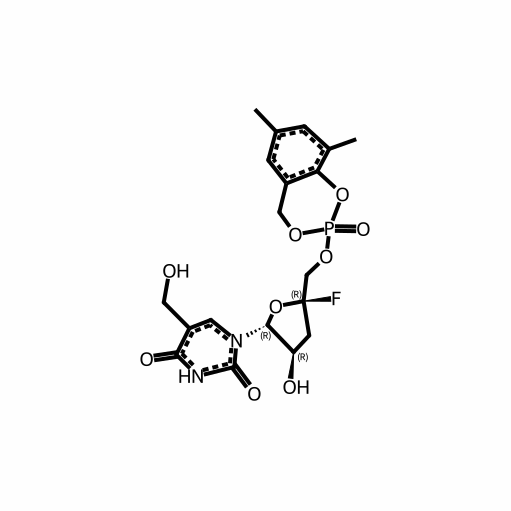 Cc1cc(C)c2c(c1)COP(=O)(OC[C@]1(F)C[C@@H](O)[C@H](n3cc(CO)c(=O)[nH]c3=O)O1)O2